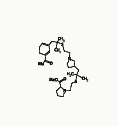 COC(=O)C1CCCN1CCSC(C)(C)CC1CCN(CCSC(C)(C)CC2=CCCC(C(=O)C(C)(C)C)=C2)C1